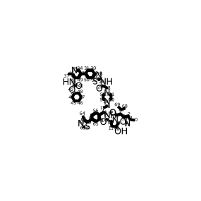 Cc1cc([C@H](C(=O)N2C[C@H](O)C[C@H]2C(=O)N[C@@H](CCN2CCN(CC(=O)Nc3nc4ccc(-c5cnc(C)c(NC(=O)OC6CCCCC6)c5)cc4s3)CC2)c2ccc(-c3scnc3C)cc2)C(C)C)on1